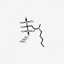 CCCCCN(C)CCC(O)(P(=O)(O)O)P(=O)(O)O.O.[MgH2].[NaH]